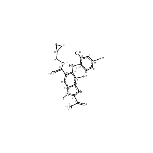 Cn1c(C(N)=O)nc2c(F)c(Nc3ccc(I)cc3Cl)c(C(=O)OCC3CC3)cc21